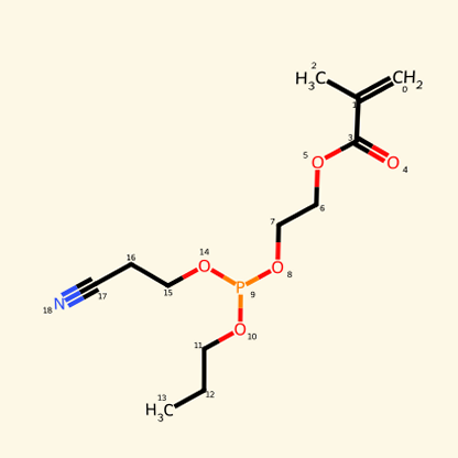 C=C(C)C(=O)OCCOP(OCCC)OCCC#N